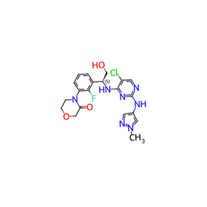 Cn1cc(Nc2ncc(Cl)c(N[C@H](CO)c3cccc(N4CCOCC4=O)c3F)n2)cn1